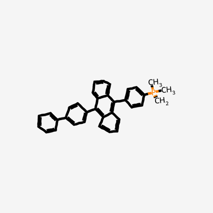 C=P(C)(C)c1ccc(-c2c3ccccc3c(-c3ccc(-c4ccccc4)cc3)c3ccccc23)cc1